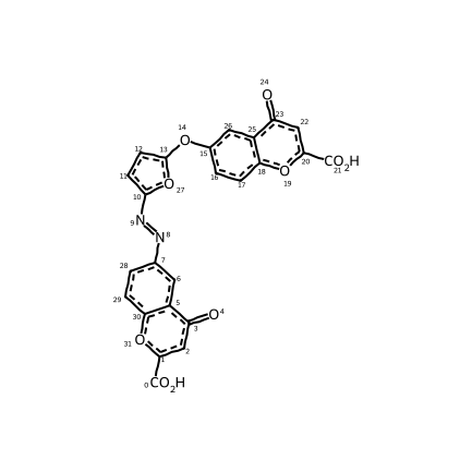 O=C(O)c1cc(=O)c2cc(/N=N/c3ccc(Oc4ccc5oc(C(=O)O)cc(=O)c5c4)o3)ccc2o1